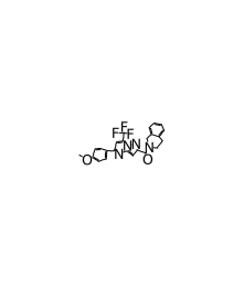 COc1ccc(-c2cc(C(F)(F)F)n3nc(C(=O)N4CCc5ccccc5C4)cc3n2)cc1